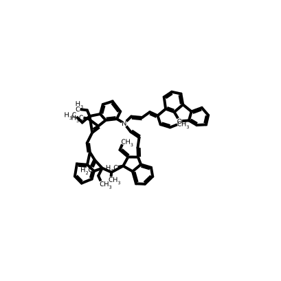 C=C1/C2=C\C3=C(CC)c4c(cccc4C3(CC)CC)N(/C=C/C=C(\C=C/C)c3cccc4c3oc3ccccc34)/C=C/C=C3\C(=C/C)C(C)(c4ccccc43)C(C)C1(CC)c1ccccc12